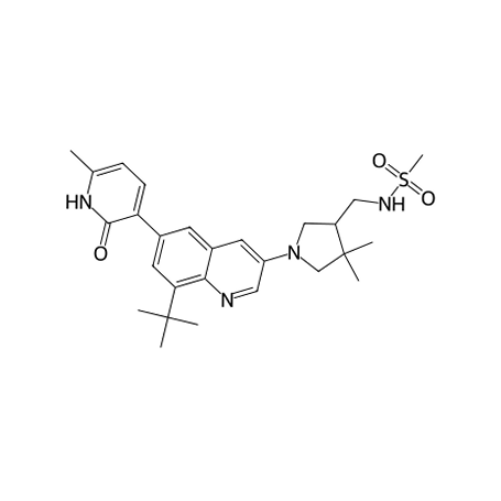 Cc1ccc(-c2cc(C(C)(C)C)c3ncc(N4CC(CNS(C)(=O)=O)C(C)(C)C4)cc3c2)c(=O)[nH]1